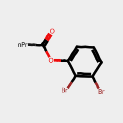 CCCC(=O)Oc1cccc(Br)c1Br